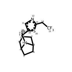 CCC(C)N1CC2CCC(C1)N2Cc1cnc(CC(F)(F)F)s1